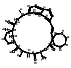 CC(C)[C@@H]1OC(=O)C2(/C=C/c3ccc4ccc(nc4c3)[C@@H](C)NC(=O)[C@@H]3CCCN(N3)C(=O)[C@H](C)NC1=O)COCCOC2